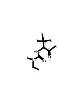 CCN(C)C(=O)NC(C(C)=O)C(C)(C)C